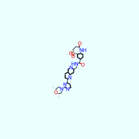 C[C@@H]1CN(c2nccc(-c3ccc4cnc(CNC(=O)c5ccc6c(c5)S(=O)(=O)CCC(=O)N6)cc4n3)n2)C[C@H](C)O1